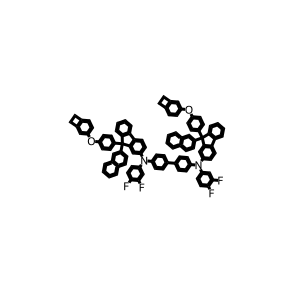 Fc1ccc(N(c2ccc(-c3ccc(N(c4ccc(F)c(F)c4)c4ccc5c(c4)C(c4ccc(Oc6ccc7c(c6)CC7)cc4)(c4ccc6ccccc6c4)c4ccccc4-5)cc3)cc2)c2ccc3c(c2)C(c2ccc(Oc4ccc5c(c4)CC5)cc2)(c2ccc4ccccc4c2)c2ccccc2-3)cc1F